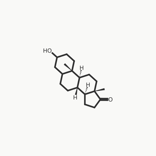 C[C@]12CCC(O)CC1CC[C@@H]1[C@@H]2CC[C@]2(C)C(=O)CC[C@@H]12